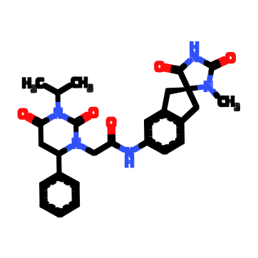 CC(C)N1C(=O)CC(c2ccccc2)N(CC(=O)Nc2ccc3c(c2)C[C@@]2(C3)C(=O)NC(=O)N2C)C1=O